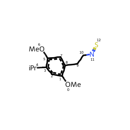 COc1cc(C(C)C)c(OC)cc1CCN=S